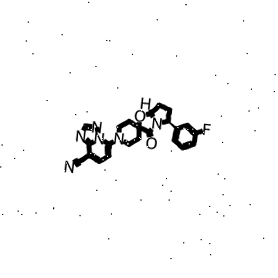 N#Cc1ccc(N2CCC3(CC2)O[C@@H]2CC[C@@H](c4cccc(F)c4)N2C3=O)n2ncnc12